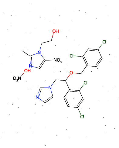 Cc1ncc([N+](=O)[O-])n1CCO.Clc1ccc(COC(Cn2ccnc2)c2ccc(Cl)cc2Cl)c(Cl)c1.O=[N+]([O-])O